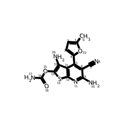 Cc1ccc(-c2c(C#N)c(N)nc3sc(OC(N)=O)c(N)c23)o1